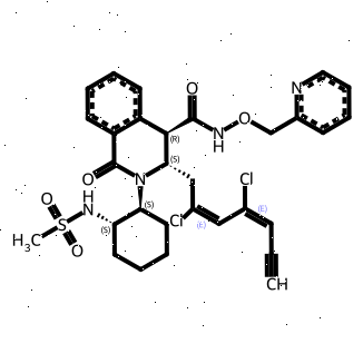 C#C/C=C(Cl)\C=C(\Cl)C[C@H]1[C@H](C(=O)NOCc2ccccn2)c2ccccc2C(=O)N1[C@H]1CCCC[C@@H]1NS(C)(=O)=O